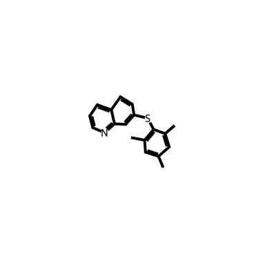 Cc1cc(C)c(Sc2ccc3cccnc3c2)c(C)c1